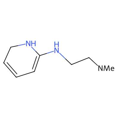 CNCCNC1=CC=CCN1